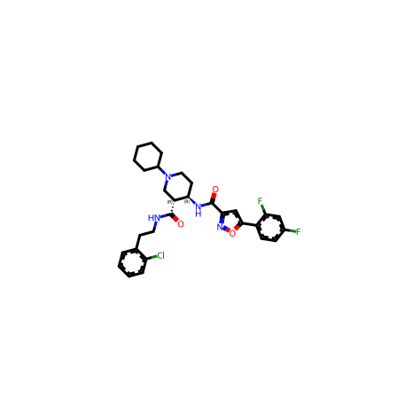 O=C(N[C@@H]1CCN(C2CCCCC2)C[C@H]1C(=O)NCCc1ccccc1Cl)c1cc(-c2ccc(F)cc2F)on1